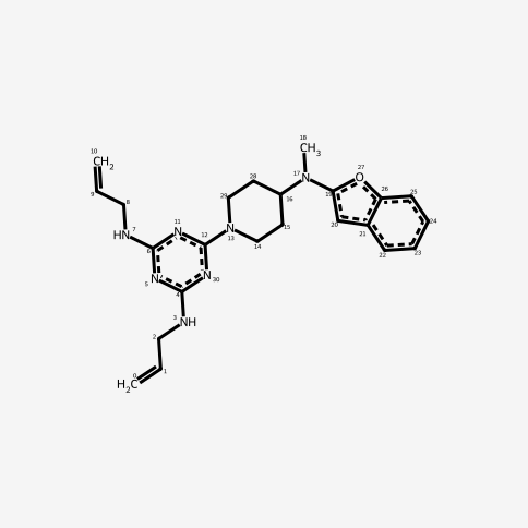 C=CCNc1nc(NCC=C)nc(N2CCC(N(C)c3cc4ccccc4o3)CC2)n1